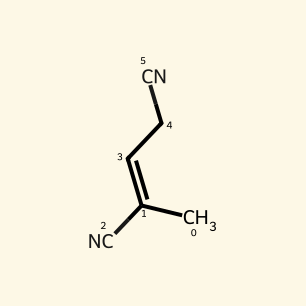 CC(C#N)=CCC#N